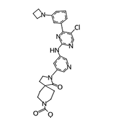 CC(C)(C)OC(=O)N1CCC2(CC1)CCN(c1cncc(Nc3ncc(Cl)c(-c4cccc(N5CCC5)c4)n3)c1)C2=O